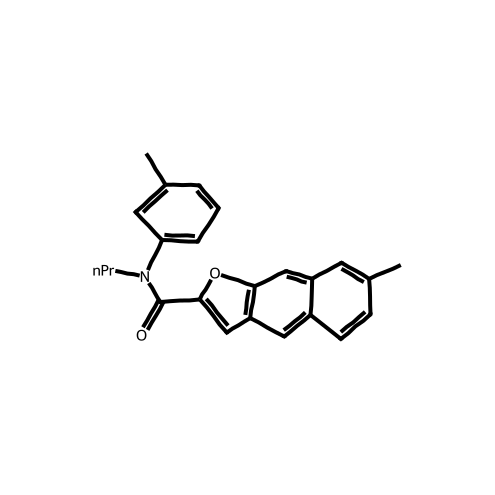 CCCN(C(=O)c1cc2cc3ccc(C)cc3cc2o1)c1cccc(C)c1